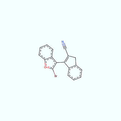 N#CC1=C(c2c(Br)oc3ccccc23)c2ccccc2C1